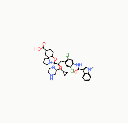 Cn1cc(C(=O)Nc2cc(Cl)c(CC(=O)C(OC3CCC(C(=O)O)CC3)(N3CCCC3)N3CCNCC3CC3CC3)cc2Cl)c2ccccc21